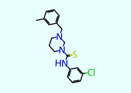 Cc1cccc(CN2CCCN(C(=S)Nc3cccc(Cl)c3)C2)c1